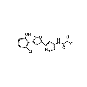 O=C(Nc1ccnc(-c2cc(-c3c(O)cccc3Cl)no2)c1)C(Cl)Cl